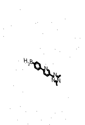 Bc1ccc(-c2ccc(-c3nc(C)nc(C)n3)cn2)cc1